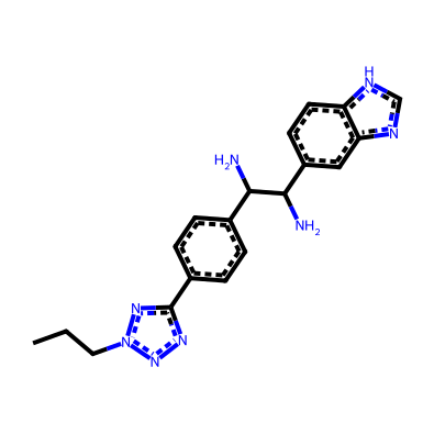 CCCn1nnc(-c2ccc(C(N)C(N)c3ccc4[nH]cnc4c3)cc2)n1